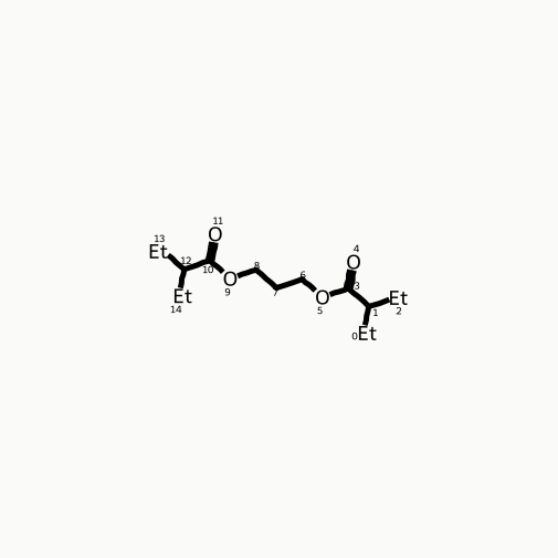 CCC(CC)C(=O)OCCCOC(=O)C(CC)CC